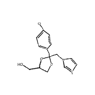 OCC1COC(Cn2ccnc2)(c2ccc(Cl)cc2)O1